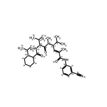 C/C(=C\[C@H](C(C)C)N(C)C(=O)[C@@H](NC(=O)C1CCCCN1C(C)C)C(C)C)C(=O)Nc1cccc(C#N)c1